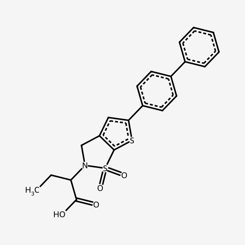 CCC(C(=O)O)N1Cc2cc(-c3ccc(-c4ccccc4)cc3)sc2S1(=O)=O